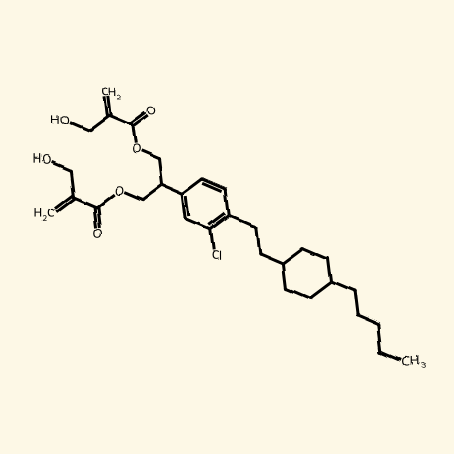 C=C(CO)C(=O)OCC(COC(=O)C(=C)CO)c1ccc(CCC2CCC(CCCCC)CC2)c(Cl)c1